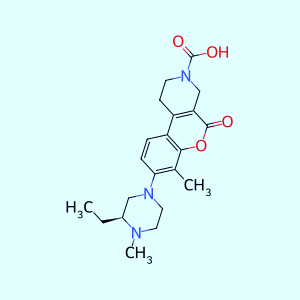 CC[C@H]1CN(c2ccc3c4c(c(=O)oc3c2C)CN(C(=O)O)CC4)CCN1C